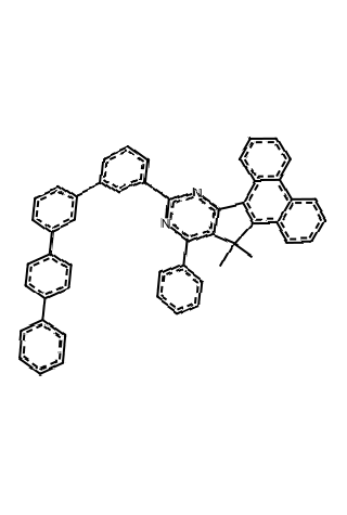 CC1(C)c2c(-c3ccccc3)nc(-c3cccc(-c4cccc(-c5ccc(-c6ccccc6)cc5)c4)c3)nc2-c2c1c1ccccc1c1ccccc21